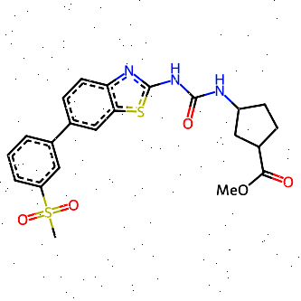 COC(=O)C1CCC(NC(=O)Nc2nc3ccc(-c4cccc(S(C)(=O)=O)c4)cc3s2)C1